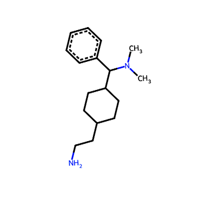 CN(C)C(c1ccccc1)C1CCC(CCN)CC1